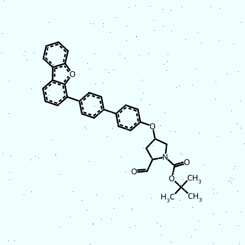 CC(C)(C)OC(=O)N1CC(Oc2ccc(-c3ccc(-c4cccc5c4oc4ccccc45)cc3)cc2)CC1C=O